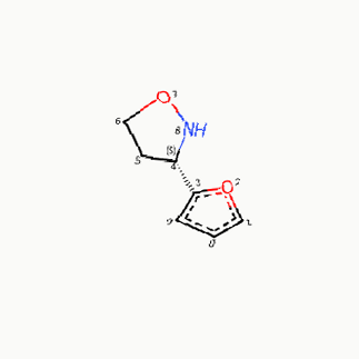 c1coc([C@@H]2CCON2)c1